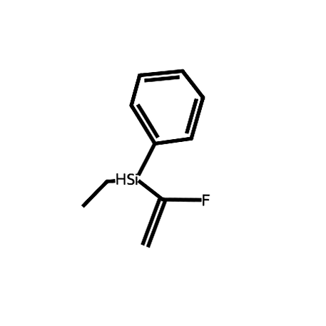 C=C(F)[SiH](CC)c1ccccc1